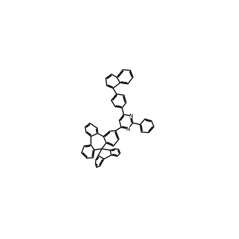 c1ccc(-c2nc(-c3ccc(-c4cccc5ccccc45)cc3)cc(-c3ccc4c(c3)-c3ccccc3-c3ccccc3C43c4ccccc4-c4ccccc43)n2)cc1